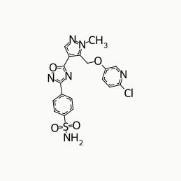 Cn1ncc(-c2nc(-c3ccc(S(N)(=O)=O)cc3)no2)c1COc1ccc(Cl)nc1